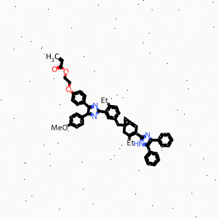 C=CC(=O)OCCOc1ccc(C2=NC(c3cc(CC45CC4=CC(c4nc(-c6ccccc6)c(-c6ccccc6)[nH]4)=C(CC)C5)ccc3CC)N=C2c2ccc(OC)cc2)cc1